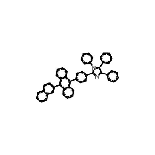 c1ccc(-c2nc(-c3ccc(-c4c5ccccc5c(-c5ccc6ccccc6c5)c5ccccc45)cc3)n(-c3ccccc3)c2-c2ccccc2)cc1